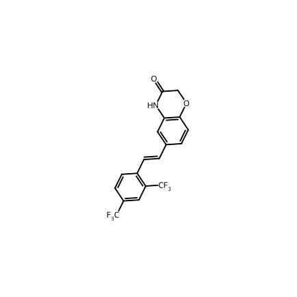 O=C1COc2ccc(C=Cc3ccc(C(F)(F)F)cc3C(F)(F)F)cc2N1